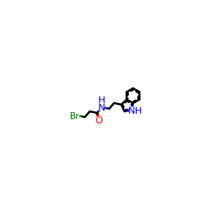 O=C(CCBr)NCCc1c[nH]c2ccccc12